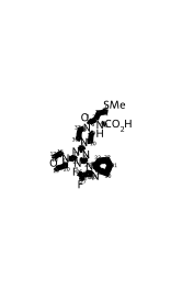 CSCCC(NC(=O)O)C(=O)N1CCN(c2nc(N3CCOCC3)nc(-n3c(C(F)F)nc4ccccc43)n2)CC1